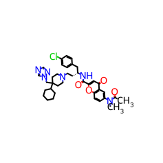 CC(=O)N(C)c1ccc2oc(C(=O)N[C@H](CCN3CCC(Cn4cncn4)(C4CCCCC4)CC3)Cc3ccc(Cl)cc3)cc(=O)c2c1